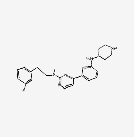 Fc1cccc(CCNc2nccc(-c3cccc(NC4CCNCC4)c3)n2)c1